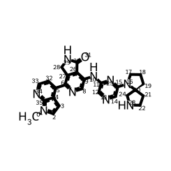 Cn1ccc2c(-c3ncc(Nc4cncc(N5CCC[C@]56CCNC6)n4)c4c3CNC4=O)ccnc21